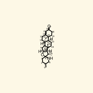 CC1CCC2(NC1)O[C@H]1C[C@H]3[C@@H]4CCC5=CC(=O)CC[C@]5(C)[C@H]4CC[C@]3(C)[C@H]1[C@@H]2C